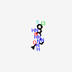 O=C(Nc1ccnc(NCc2cc3cc(Cl)c(F)cc3[nH]c2=O)n1)C1CC1